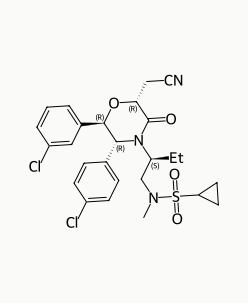 CC[C@@H](CN(C)S(=O)(=O)C1CC1)N1C(=O)[C@@H](CC#N)O[C@H](c2cccc(Cl)c2)[C@H]1c1ccc(Cl)cc1